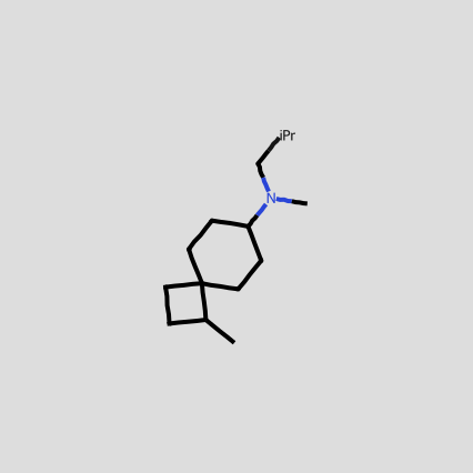 CC(C)CN(C)C1CCC2(CC1)CCC2C